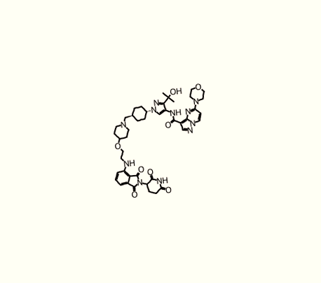 CC(C)(O)c1nn([C@H]2CC[C@H](CN3CCC(OCCNc4cccc5c4C(=O)N(C4CCC(=O)NC4=O)C5=O)CC3)CC2)cc1NC(=O)c1cnn2ccc(N3CCOCC3)nc12